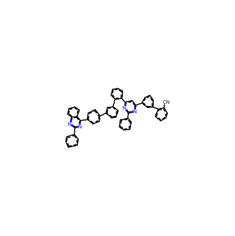 N#Cc1ccccc1-c1cccc(-c2cc(-c3ccccc3-c3cccc(-c4ccc(-c5nc(-c6ccccc6)nc6ccccc56)cc4)c3)nc(-c3ccccc3)n2)c1